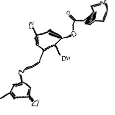 O=C(Oc1cc(Cl)cc(C=Nc2cc(Cl)cc(Cl)c2)c1O)c1cccnc1